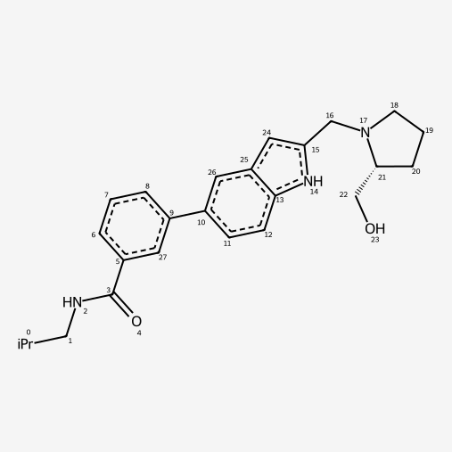 CC(C)CNC(=O)c1cccc(-c2ccc3[nH]c(CN4CCC[C@@H]4CO)cc3c2)c1